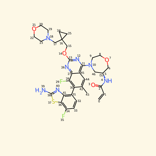 C=CC(=O)N[C@@H]1COCCN(c2nc(OCC3(CN4CCOCC4)CC3)nc3c(F)c(-c4ccc(F)c5sc(N)nc45)c(C)cc23)C1